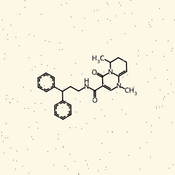 CC1CCC=C2N(C)C=C(C(=O)NCCC(c3ccccc3)c3ccccc3)C(=O)N21